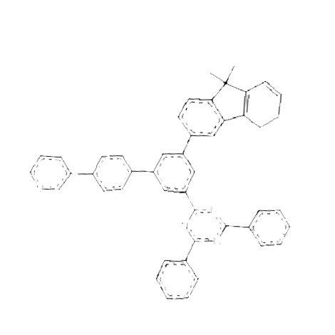 CC1(C)C2=C(CCC=C2)c2cc(-c3cc(-c4ccc(-c5cccnc5)cc4)cc(-c4nc(-c5ccccc5)nc(-c5ccccc5)n4)c3)ccc21